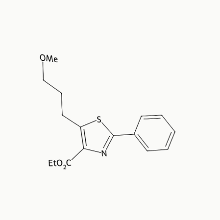 CCOC(=O)c1nc(-c2ccccc2)sc1CCCOC